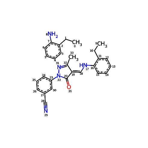 CCc1ccccc1N.CCc1ccccc1N/C=C1/C(=O)N(c2cccc(C#N)c2)N=C1C